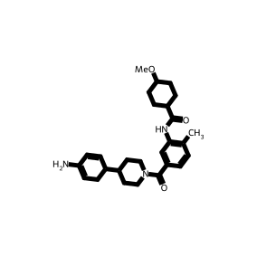 COC1CCC(C(=O)Nc2cc(C(=O)N3CCC(C4C=CC(N)=CC4)CC3)ccc2C)CC1